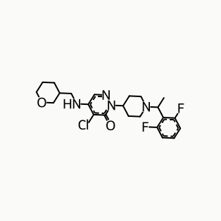 CC(c1c(F)cccc1F)N1CCC(n2ncc(NCC3CCCOC3)c(Cl)c2=O)CC1